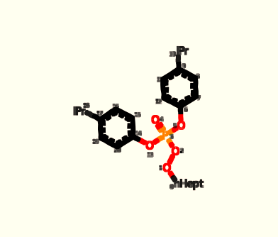 CCCCCCCOOP(=O)(Oc1ccc(C(C)C)cc1)Oc1ccc(C(C)C)cc1